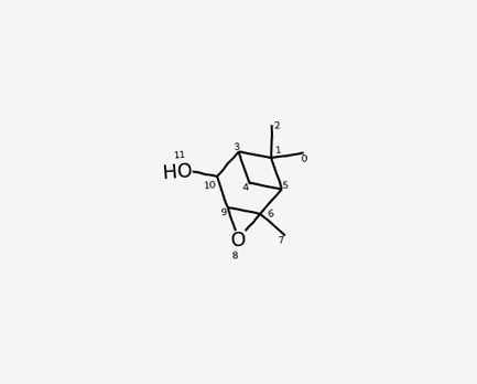 CC1(C)C2CC1C1(C)OC1C2O